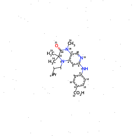 CC(C)CCN1c2cc(Nc3ccc(C(=O)O)cc3)ncc2N(C)C(=O)C1(C)C